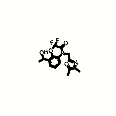 Cc1nc(CN2C(=O)C(F)(F)Oc3c(C(C)O)cccc32)oc1C